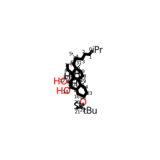 CC(C)CCC[C@@H](C)[C@H]1CC[C@H]2[C@@H]3[C@@H](O)[C@H](O)C4C[C@@H](O[Si](C)(C)C(C)(C)C)CC[C@]4(C)[C@H]3CC[C@]12C